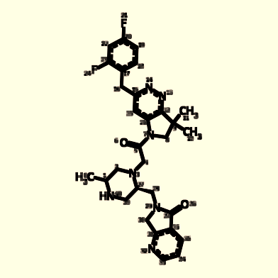 CC1CN(CC(=O)N2CC(C)(C)c3nnc(Cc4ccc(F)cc4F)cc32)[C@@H](CN2Cc3ncccc3C2=O)CN1